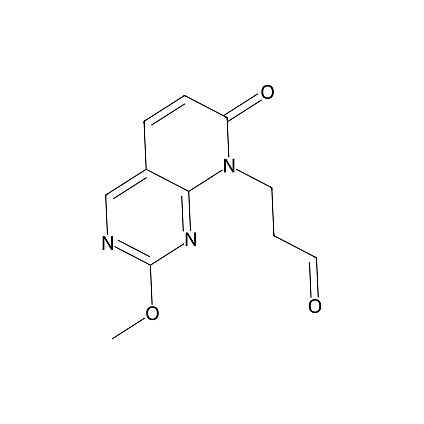 COc1ncc2ccc(=O)n(CCC=O)c2n1